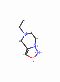 CCN1CCN2NOC=C2C1